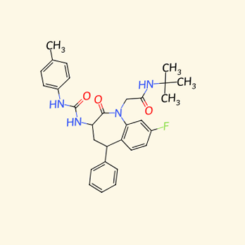 Cc1ccc(NC(=O)NC2CC(c3ccccc3)c3ccc(F)cc3N(CC(=O)NC(C)(C)C)C2=O)cc1